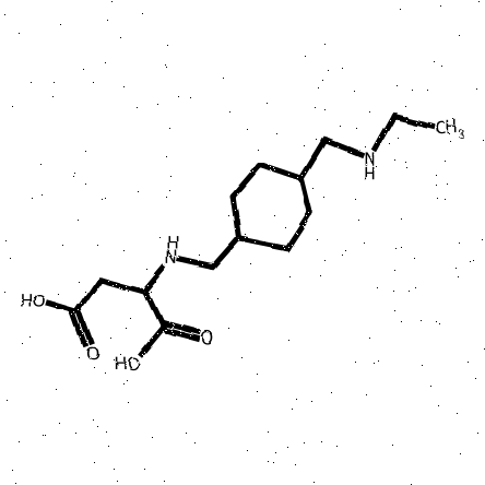 CCNCC1CCC(CNC(CC(=O)O)C(=O)O)CC1